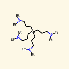 CCN(CC)CC[CH2][Sn]([CH2]CCN(CC)CC)([CH2]CCN(CC)CC)[CH2]CCN(CC)CC